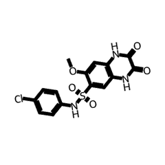 COc1cc2[nH]c(=O)c(=O)[nH]c2cc1S(=O)(=O)Nc1ccc(Cl)cc1